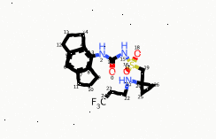 O=C(Nc1c2c(cc3c1CCC3)CCC2)NS(=O)(=O)CC1(NCCC(F)(F)F)CC1